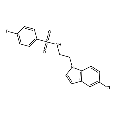 O=S(=O)(NCCn1ccc2cc(Cl)ccc21)c1ccc(F)cc1